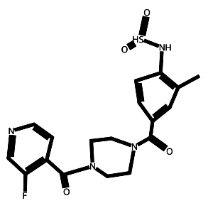 Cc1cc(C(=O)N2CCN(C(=O)c3ccncc3F)CC2)ccc1N[SH](=O)=O